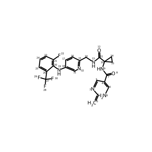 C=C/N=C\C(=C/N)C(=O)NC1(C(=O)NCc2ccc(Nc3c(F)cccc3C(F)(F)F)cn2)CC1